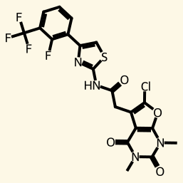 Cn1c(=O)c2c(CC(=O)Nc3nc(-c4cccc(C(F)(F)F)c4F)cs3)c(Cl)oc2n(C)c1=O